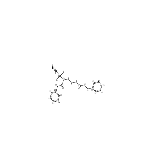 CC(C)(C#N)C(CCCOCCc1ccccc1)OCc1ccccc1